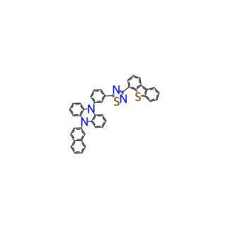 c1cc(-c2nc(-c3cccc4c3sc3ccccc34)ns2)cc(N2c3ccccc3N(c3ccc4ccccc4c3)c3ccccc32)c1